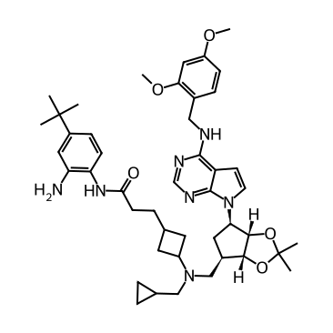 COc1ccc(CNc2ncnc3c2ccn3[C@@H]2C[C@H](CN(CC3CC3)C3CC(CCC(=O)Nc4ccc(C(C)(C)C)cc4N)C3)[C@H]3OC(C)(C)O[C@H]32)c(OC)c1